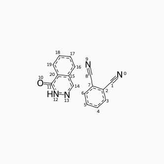 N#Cc1ccccc1C#N.O=c1[nH]ncc2ccccc12